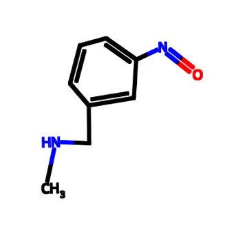 CNCc1cccc(N=O)c1